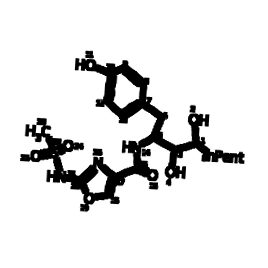 CCCCCC(O)C(O)C(Cc1ccc(O)cc1)NC(=O)c1coc(NS(C)(=O)=O)n1